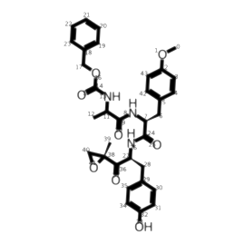 COc1ccc(C[C@H](NC(=O)C(C)NC(=O)OCc2ccccc2)C(=O)N[C@@H](Cc2ccc(O)cc2)C(=O)[C@@]2(C)CO2)cc1